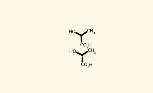 CC(O)C(=O)O.C[C@H](O)C(=O)O